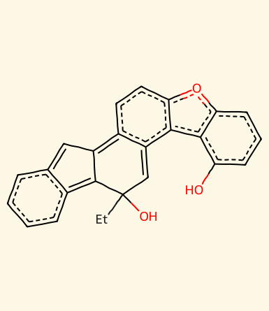 CCC1(O)C=c2c(ccc3oc4cccc(O)c4c23)=C2C=c3ccccc3=C21